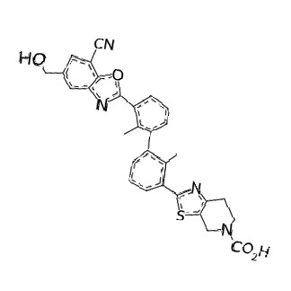 Cc1c(-c2nc3cc(CO)cc(C#N)c3o2)cccc1-c1cccc(-c2nc3c(s2)CN(C(=O)O)CC3)c1C